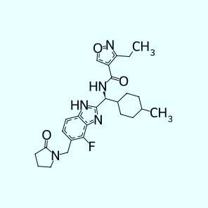 CCc1nocc1C(=O)N[C@H](c1nc2c(F)c(CN3CCCC3=O)ccc2[nH]1)C1CCC(C)CC1